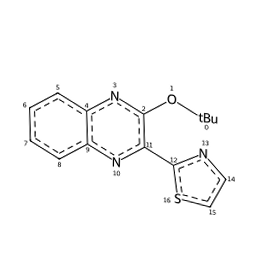 CC(C)(C)Oc1nc2ccccc2nc1-c1nccs1